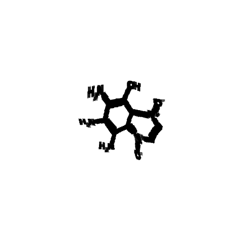 Nc1c(N)c(O)c2c(c1N)[n+]([O-])cc[n+]2[O-]